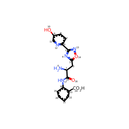 NC(Cc1nc(-c2ccc(O)cn2)no1)C(=O)Nc1ccccc1C(=O)O